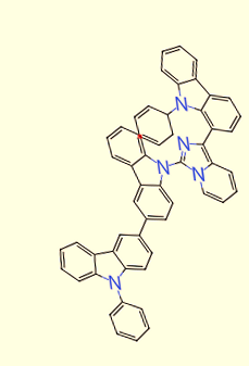 C1=CCC(n2c3ccccc3c3cccc(-c4nc(-n5c6ccccc6c6cc(-c7ccc8c(c7)c7ccccc7n8-c7ccccc7)ccc65)n5ccccc45)c32)C=C1